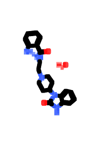 Nc1ccccc1C(=O)NCCN1CCC(n2c(=O)[nH]c3ccccc32)CC1.O